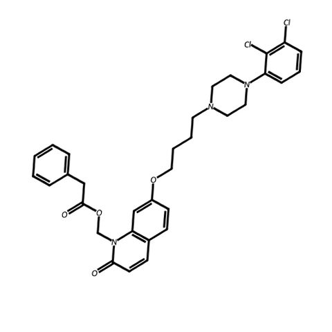 O=C(Cc1ccccc1)OCn1c(=O)ccc2ccc(OCCCCN3CCN(c4cccc(Cl)c4Cl)CC3)cc21